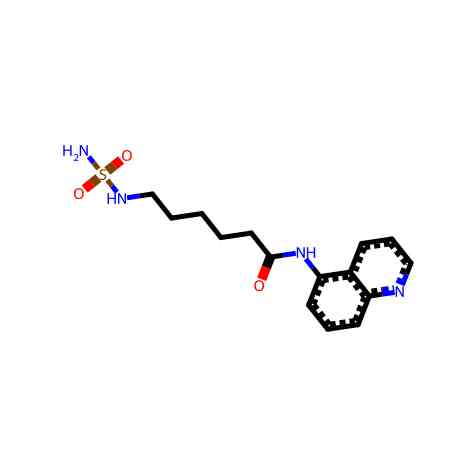 NS(=O)(=O)NCCCCCC(=O)Nc1cccc2ncccc12